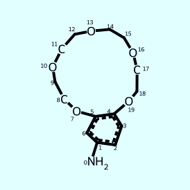 Nc1ccc2c(c1)OCCOCCOCCOCCO2